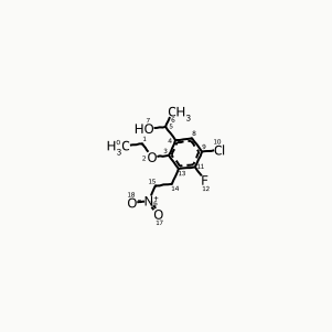 CCOc1c(C(C)O)cc(Cl)c(F)c1CC[N+](=O)[O-]